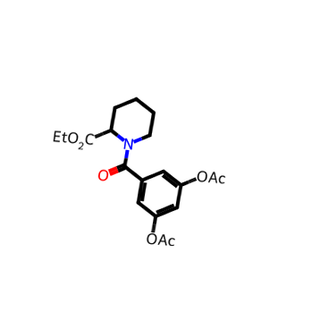 CCOC(=O)C1CCCCN1C(=O)c1cc(OC(C)=O)cc(OC(C)=O)c1